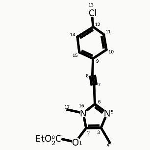 CCOC(=O)Oc1c(C)nc(C#Cc2ccc(Cl)cc2)n1C